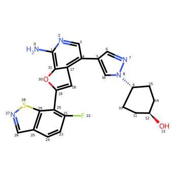 Nc1ncc(-c2cnn([C@H]3CC[C@H](O)CC3)c2)c2cc(-c3c(F)ccc4cnsc34)oc12